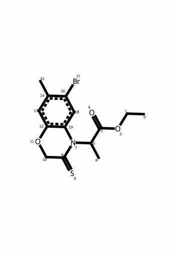 CCOC(=O)C(C)N1C(=S)COc2cc(C)c(Br)cc21